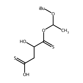 CCC(C)OC(C)OC(=S)C(O)CC(O)=S